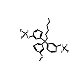 CCCCCC[B-](c1cccc(OC)c1)(c1cccc(OC(F)(F)F)c1)c1cccc(OC(F)(F)F)c1